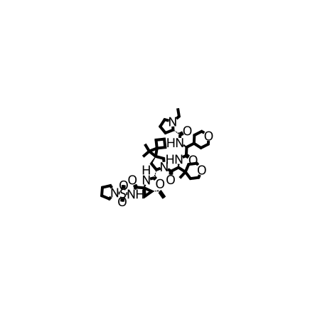 C=C[C@@H]1C[C@]1(NC(=O)[C@@H]1C[C@@]2(CN1C(=O)[C@@H](NC(=O)[C@@H](NC(=O)[C@@H]1CCCN1CC)C1CCOCC1)C1(C)CCOCC1)C(C)(C)C21CCC1)C(=O)NS(=O)(=O)N1CCCC1